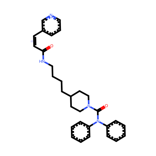 O=C(/C=C\c1cccnc1)NCCCCC1CCN(C(=O)N(c2ccccc2)c2ccccc2)CC1